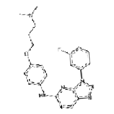 CN(C)CCCOc1ccc(Nc2ncc3nnn(-c4cccc(F)c4)c3n2)cc1